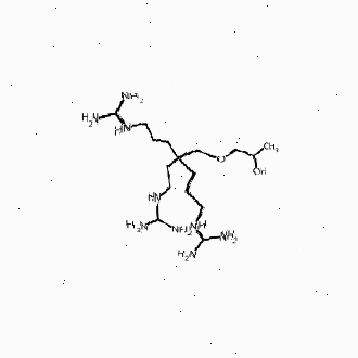 CC(O)COCC(CCCNC(N)N)(CCCNC(N)N)CCNC(N)N